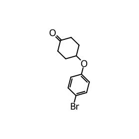 O=C1CCC(Oc2ccc(Br)cc2)CC1